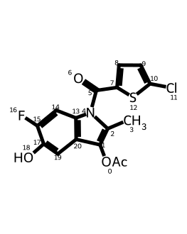 CC(=O)Oc1c(C)n(C(=O)c2ccc(Cl)s2)c2cc(F)c(O)cc12